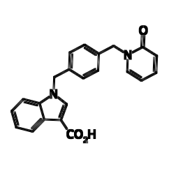 O=C(O)c1cn(Cc2ccc(Cn3ccccc3=O)cc2)c2ccccc12